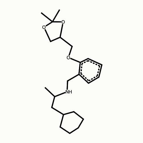 CC(CC1CCCCC1)NCc1ccccc1OCC1COC(C)(C)O1